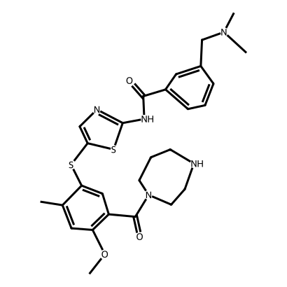 COc1cc(C)c(Sc2cnc(NC(=O)c3cccc(CN(C)C)c3)s2)cc1C(=O)N1CCCNCC1